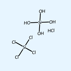 Cl.Cl[Si](Cl)(Cl)Cl.O[Si](O)(O)O